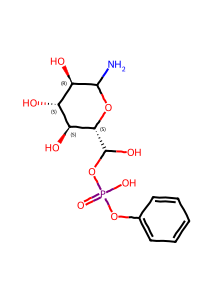 NC1O[C@H](C(O)OP(=O)(O)Oc2ccccc2)[C@@H](O)[C@H](O)[C@H]1O